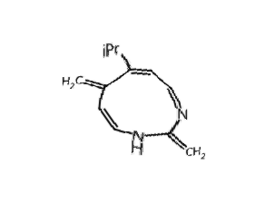 C=c1nccc(C(C)C)c(=C)cc[nH]1